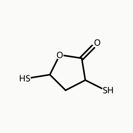 O=C1OC(S)CC1S